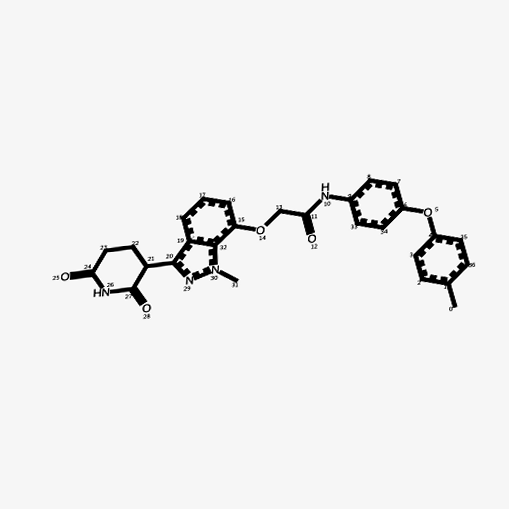 Cc1ccc(Oc2ccc(NC(=O)COc3cccc4c(C5CCC(=O)NC5=O)nn(C)c34)cc2)cc1